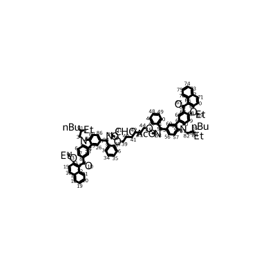 CCCCC(CC)Cn1c2ccc(C(=O)c3c(OCC)ccc4ccccc34)cc2c2cc(/C(=N/OC=O)c3ccccc3OCCCCCCOc3ccccc3/C(=N\OC(C)=O)c3ccc4c(c3)c3cc(C(=O)c5c(OCC)ccc6ccccc56)ccc3n4CC(CC)CCCC)ccc21